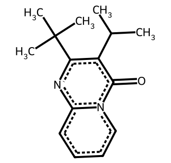 CC(C)c1c(C(C)(C)C)nc2ccccn2c1=O